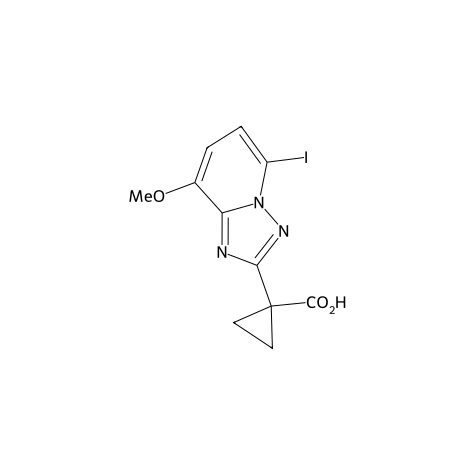 COc1ccc(I)n2nc(C3(C(=O)O)CC3)nc12